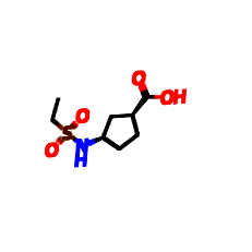 CCS(=O)(=O)N[C@@H]1CC[C@H](C(=O)O)C1